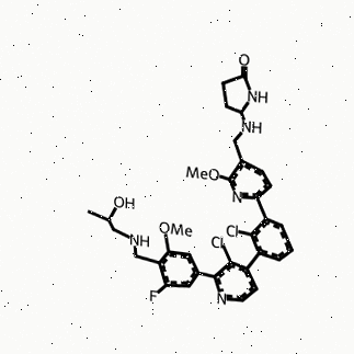 COc1cc(-c2nccc(-c3cccc(-c4ccc(CNC5CCC(=O)N5)c(OC)n4)c3Cl)c2Cl)cc(F)c1CNCC(C)O